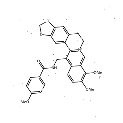 COc1ccc(C(=O)NCc2c3[n+](cc4c(OC)c(OC)ccc24)CCc2cc4c(cc2-3)OCO4)cc1.[I-]